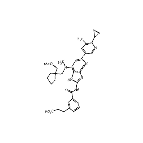 COCC1(CN(C)c2cc(-c3cnc(C4CC4)c(C(F)(F)F)c3)nc3nc(NC(=O)c4cc(CCC(=O)O)ccn4)[nH]c23)CCCC1